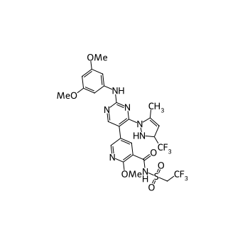 COc1cc(Nc2ncc(-c3cnc(OC)c(C(=O)NS(=O)(=O)CC(F)(F)F)c3)c(N3NC(C(F)(F)F)C=C3C)n2)cc(OC)c1